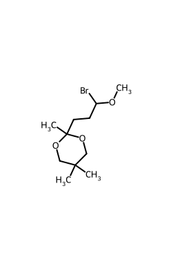 COC(Br)CCC1(C)OCC(C)(C)CO1